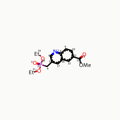 CCOP(=O)(Cc1cnc2ccc(C(=O)OC)cc2c1)OCC